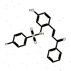 O=C(C=Cc1ccc(O)cc1NS(=O)(=O)c1ccc(F)cc1)c1ccccc1